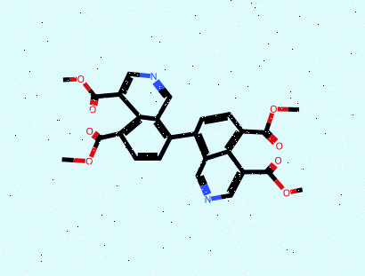 COC(=O)c1ccc(-c2ccc(C(=O)OC)c3c(C(=O)OC)cncc23)c2cncc(C(=O)OC)c12